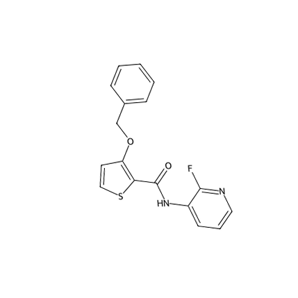 O=C(Nc1cccnc1F)c1sccc1OCc1ccccc1